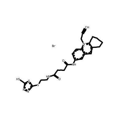 C#CC[n+]1c2c(cc3cc(NC(=O)CCC(=O)NCCSc4nnc(S)s4)ccc31)CCCC2.[Br-]